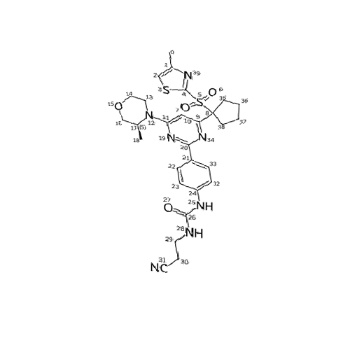 Cc1csc(S(=O)(=O)C2(c3cc(N4CCOC[C@@H]4C)nc(-c4ccc(NC(=O)NCCC#N)cc4)n3)CCCC2)n1